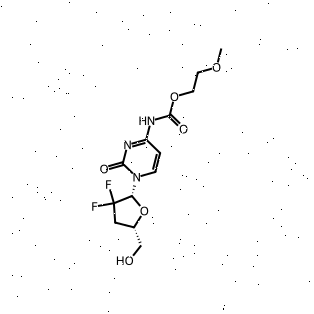 COCCOC(=O)Nc1ccn([C@@H]2O[C@H](CO)CC2(F)F)c(=O)n1